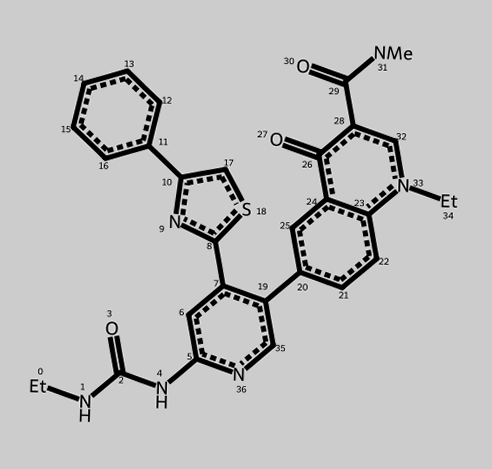 CCNC(=O)Nc1cc(-c2nc(-c3ccccc3)cs2)c(-c2ccc3c(c2)c(=O)c(C(=O)NC)cn3CC)cn1